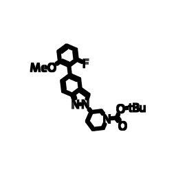 COc1cccc(F)c1-c1ccc2nn(C3CCCN(C(=O)OC(C)(C)C)C3)cc2c1